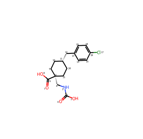 O=C(O)NC[C@]1(C(=O)O)CC[C@H](Cc2ccc(Cl)cc2)CC1